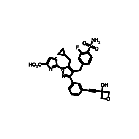 NS(=O)(=O)c1ccc(Cc2c(-c3cccc(C#CC4(O)COC4)c3)nn(-c3nc(C(=O)O)cs3)c2CC2CC2)cc1F